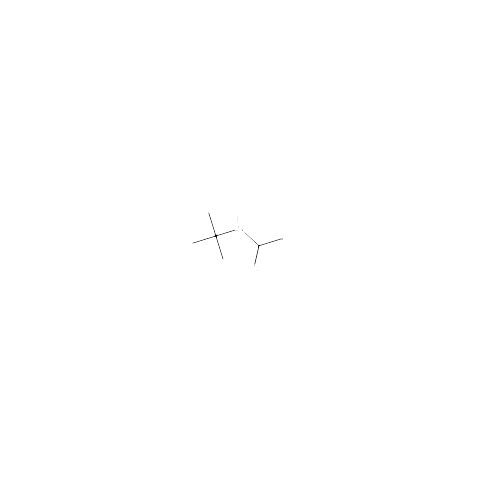 CC(C)C(O)NC(C)(C)C